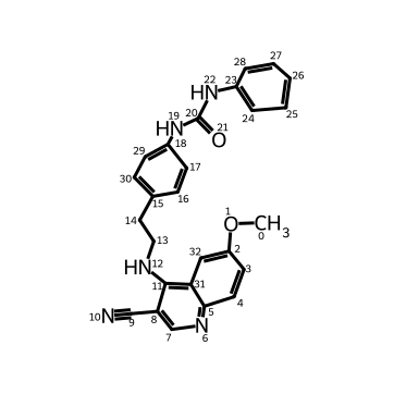 COc1ccc2ncc(C#N)c(NCCc3ccc(NC(=O)Nc4ccccc4)cc3)c2c1